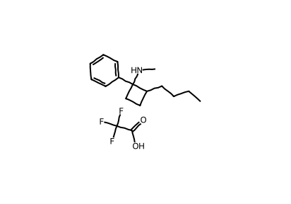 CCCCC1CCC1(NC)c1ccccc1.O=C(O)C(F)(F)F